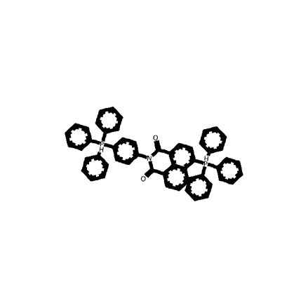 O=C1c2cccc3c([PH](c4ccccc4)(c4ccccc4)c4ccccc4)ccc(c23)C(=O)N1c1ccc([PH](c2ccccc2)(c2ccccc2)c2ccccc2)cc1